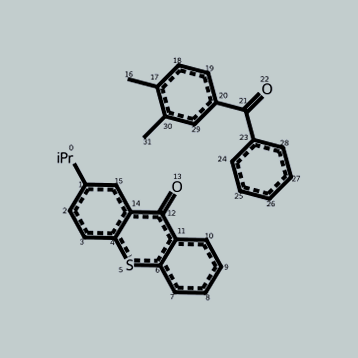 CC(C)c1ccc2sc3ccccc3c(=O)c2c1.Cc1ccc(C(=O)c2ccccc2)cc1C